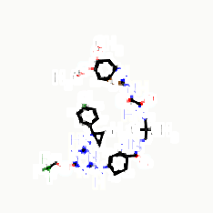 COc1cc2nc(NC(=O)C(=O)NCC(C)(C)CNC(=O)c3ccc(Nc4nc(NC5(c6ccc(Cl)cc6)CC5)nc(OCC(F)(F)F)n4)cc3)sc2cc1OC